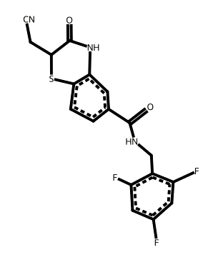 N#CCC1Sc2ccc(C(=O)NCc3c(F)cc(F)cc3F)cc2NC1=O